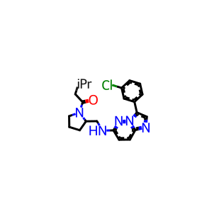 CC(C)CC(=O)N1CCCC1CNc1ccc2ncc(-c3cccc(Cl)c3)n2n1